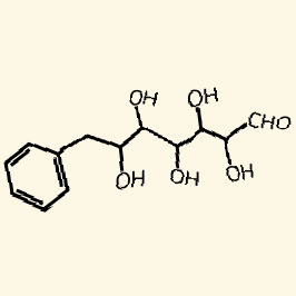 O=CC(O)C(O)C(O)C(O)C(O)Cc1ccccc1